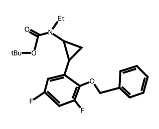 CCN(C(=O)OC(C)(C)C)C1CC1c1cc(F)cc(F)c1OCc1ccccc1